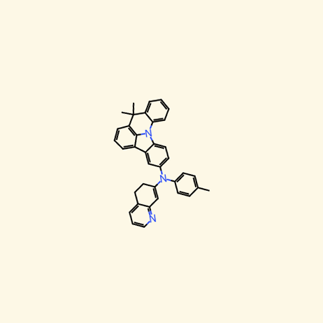 Cc1ccc(N(C2=Cc3ncccc3CC2)c2ccc3c(c2)c2cccc4c2n3-c2ccccc2C4(C)C)cc1